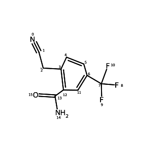 N#C[CH]c1ccc(C(F)(F)F)cc1C(N)=O